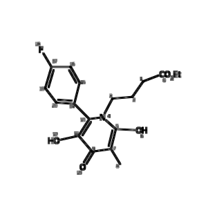 CCOC(=O)CCCn1c(O)c(C)c(=O)c(O)c1-c1ccc(F)cc1